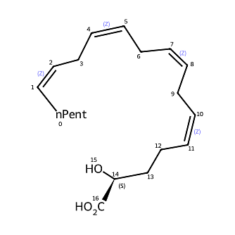 CCCCC/C=C\C/C=C\C/C=C\C/C=C\CC[C@H](O)C(=O)O